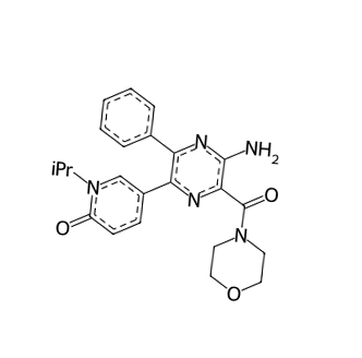 CC(C)n1cc(-c2nc(C(=O)N3CCOCC3)c(N)nc2-c2ccccc2)ccc1=O